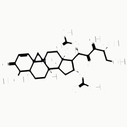 C=C(C(=O)[C@H](OC(C)=O)C1[C@@H](OC(C)=O)C[C@@]2(C)[C@@H]3CC[C@H]4C(C)C(=O)C=CC45CC35CC[C@]12C)[C@@H](C)CO